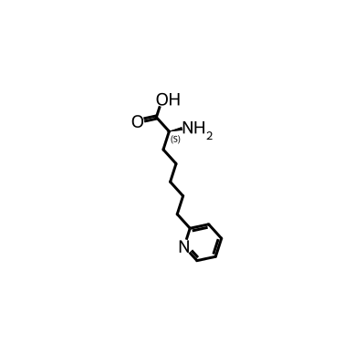 N[C@@H](CCCCCc1ccccn1)C(=O)O